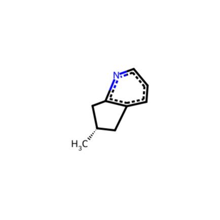 C[C@H]1Cc2cccnc2C1